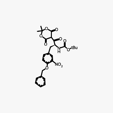 CC(C)(C)OC(=O)N[C@@H](Cc1ccc(OCc2ccccc2)c([N+](=O)[O-])c1)C(=O)C1C(=O)OC(C)(C)OC1=O